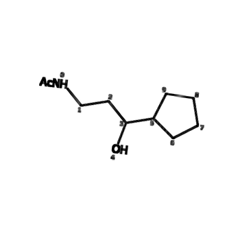 CC(=O)NCCC(O)C1CCCC1